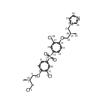 C[C@H](CCl)COc1ccc(S(=O)(=O)c2ccc(OC[C@H](C)Cn3ccnc3)c(Cl)c2)cc1Cl